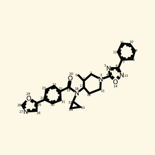 CC1CN(c2nc(-c3ccccc3)no2)CCC1N(C(=O)c1ccc(-c2cnco2)cc1)C1CC1